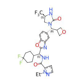 CCn1nccc1C(=O)N[C@H](c1nc2cc([C@@H](C3COC3)N3C[C@@H](C(F)(F)F)NC3=O)ccc2o1)C1CCC(F)(F)CC1